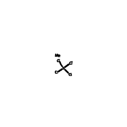 Cl[Si](Cl)(Cl)Cl.[Mn]